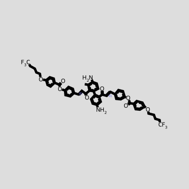 Cc1c(N)ccc(-c2ccc(N)cc2C(=O)/C=C/c2ccc(OC(=O)c3ccc(OCCCCC(F)(F)F)cc3)cc2)c1C(=O)/C=C/c1ccc(OC(=O)c2ccc(OCCCCC(F)(F)F)cc2)cc1